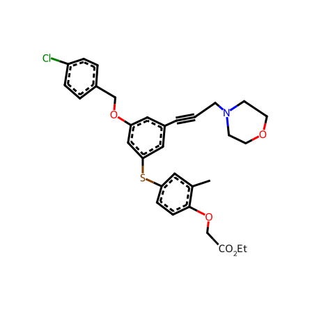 CCOC(=O)COc1ccc(Sc2cc(C#CCN3CCOCC3)cc(OCc3ccc(Cl)cc3)c2)cc1C